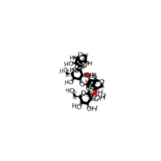 N[C@]1(O[C@@H]2[C@H]3OC[C@@H]2O[C@@H](O[C@@H]2[C@@H](O)[C@H](O[C@@H]4[C@H]5OC[C@@H]4O[C@@H](O)[C@H]5O)O[C@H](CO)[C@H]2O)[C@H]3O)O[C@H](CO)[C@H](O)[C@H](O)[C@H]1O